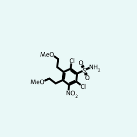 COCCc1c(Cl)c(S(N)(=O)=O)c(Cl)c([N+](=O)[O-])c1CCOC